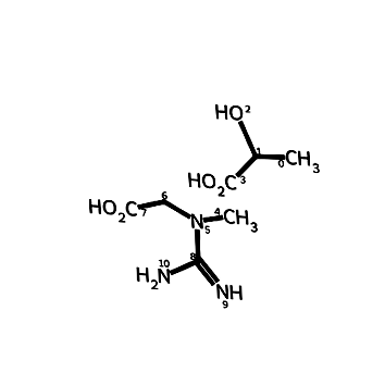 CC(O)C(=O)O.CN(CC(=O)O)C(=N)N